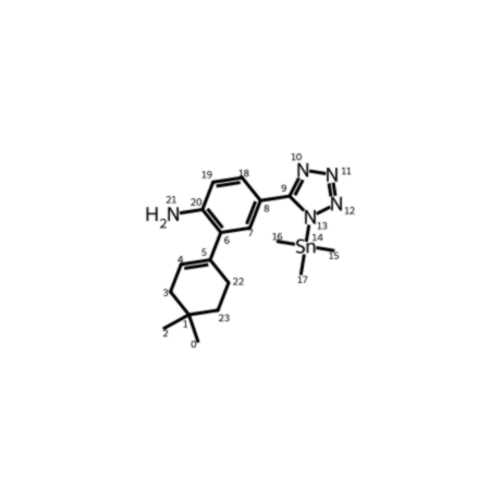 CC1(C)CC=C(c2cc(-c3nnn[n]3[Sn]([CH3])([CH3])[CH3])ccc2N)CC1